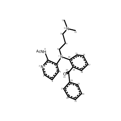 CC(=O)Nc1ncccc1N(CCCN(C)C)c1ccccc1C(=O)c1ccccc1